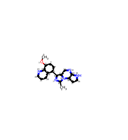 COc1ccc(-c2nc(C)n3c2cnc2[nH]ccc23)c2cccnc12